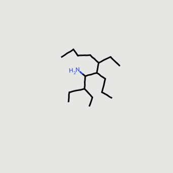 CCCCC(CC)C(CCC)C(N)C(CC)CC